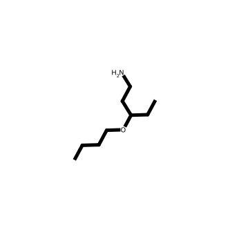 CCCCOC(CC)CCN